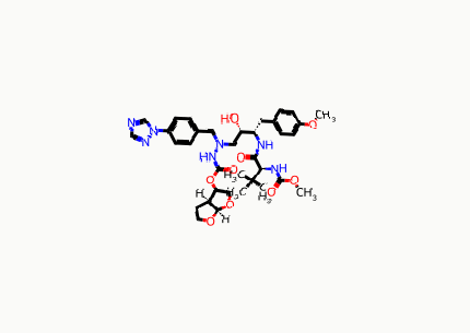 COC(=O)N[C@H](C(=O)N[C@@H](Cc1ccc(OC)cc1)[C@@H](O)CN(Cc1ccc(-n2cncn2)cc1)NC(=O)OC1CO[C@H]2OCC[C@@H]12)C(C)(C)C